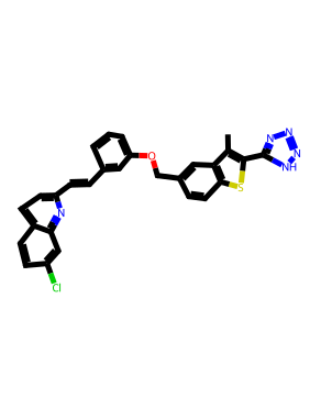 Cc1c(-c2nnn[nH]2)sc2ccc(COc3cccc(C=Cc4ccc5ccc(Cl)cc5n4)c3)cc12